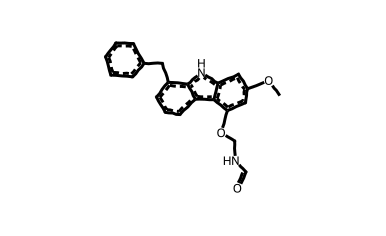 COc1cc(OCNC=O)c2c(c1)[nH]c1c(Cc3ccccc3)cccc12